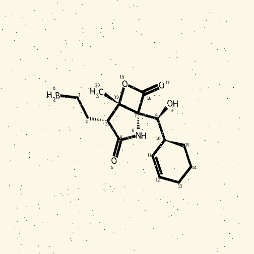 BCC[C@H]1C(=O)N[C@@]2([C@@H](O)[C@@H]3C=CCCC3)C(=O)O[C@@]12C